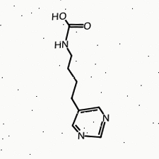 O=C(O)NCCCCc1cncnc1